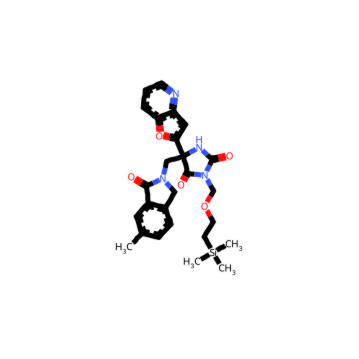 Cc1ccc2c(c1)C(=O)N(CC1(c3cc4ncccc4o3)NC(=O)N(COCC[Si](C)(C)C)C1=O)C2